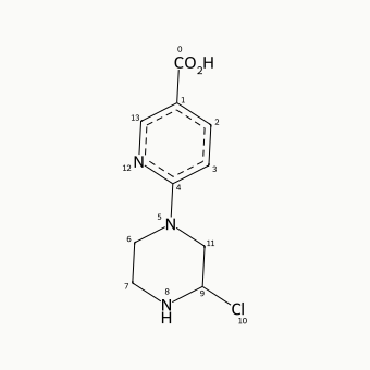 O=C(O)c1ccc(N2CCNC(Cl)C2)nc1